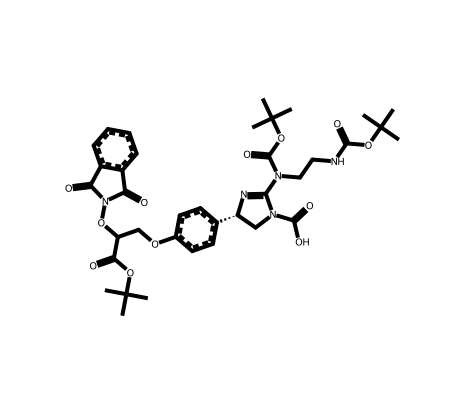 CC(C)(C)OC(=O)NCCN(C(=O)OC(C)(C)C)C1=N[C@@H](c2ccc(OCC(ON3C(=O)c4ccccc4C3=O)C(=O)OC(C)(C)C)cc2)CN1C(=O)O